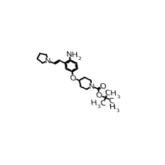 CC(C)(C)OC(=O)N1CCC(Oc2ccc(N)c(/C=C/N3CCCC3)c2)CC1